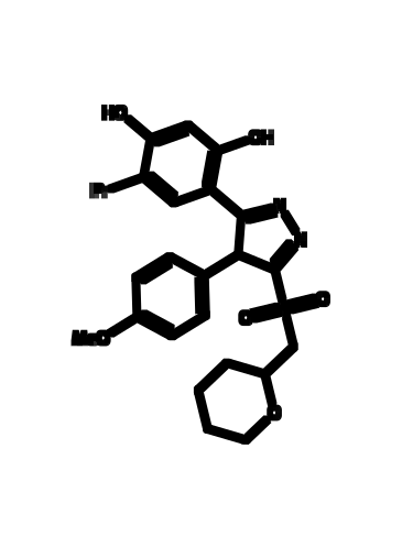 COc1ccc(C2C(c3cc(C(C)C)c(O)cc3O)=NN=C2S(=O)(=O)CC2CCCCO2)cc1